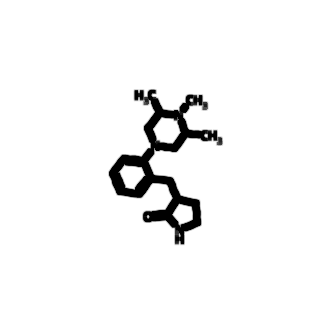 CC1CN(c2ccccc2CC2CCNC2=O)CC(C)N1C